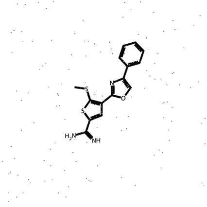 CSc1sc(C(=N)N)cc1-c1nc(-c2ccccc2)co1